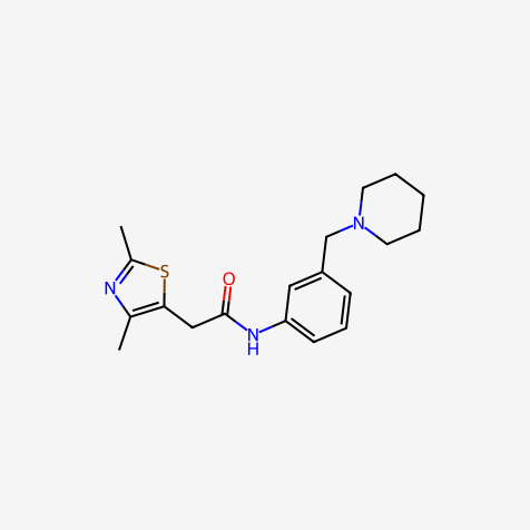 Cc1nc(C)c(CC(=O)Nc2cccc(CN3CCCCC3)c2)s1